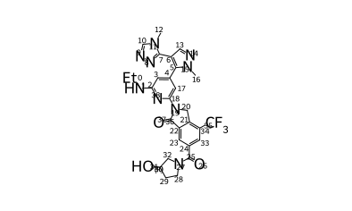 CCNc1cc(-c2c(-c3nncn3C)cnn2C)cc(N2Cc3c(cc(C(=O)N4CC[C@@H](O)C4)cc3C(F)(F)F)C2=O)n1